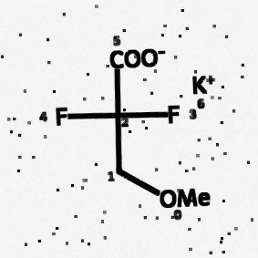 COCC(F)(F)C(=O)[O-].[K+]